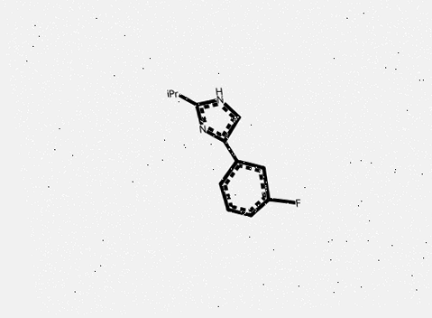 CC(C)c1nc(-c2cccc(F)c2)c[nH]1